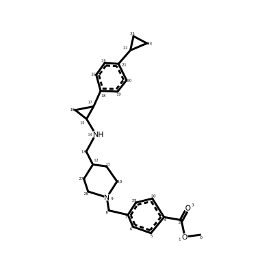 COC(=O)c1ccc(CN2CCC(CNC3CC3c3ccc(C4CC4)cc3)CC2)cc1